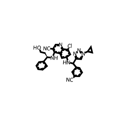 N#Cc1cccc(C(Nc2cc(Cl)c3ncc(C#N)c(N[C@H](CCO)c4ccccc4)c3c2)c2cn(C3CC3)nn2)c1